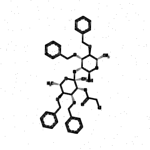 C[C@@H]1O[C@@H](O)[C@H](O[C@]2(C)O[C@@H](C)[C@H](OCc3ccccc3)[C@@H](OCc3ccccc3)[C@H]2OC(=O)CCl)[C@H](OCc2ccccc2)[C@H]1OCc1ccccc1